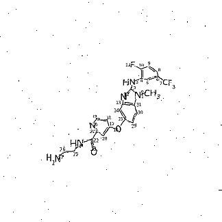 Cn1c(Nc2cc(C(F)(F)F)ccc2F)nc2cc(Oc3ccnc(C(=O)NCCN)c3)ccc21